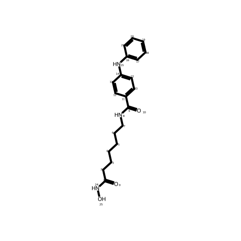 O=C(CCCCCCNC(=O)c1ccc(Nc2ccccc2)cc1)NO